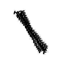 OC(F)(F)C(F)(F)C(F)(F)C(F)(F)C(F)(F)C(F)(F)C(F)(F)C(F)(F)C(F)(F)C(F)(F)C(F)(F)C(F)(F)C(F)(F)C(F)(F)C(F)(F)C(F)(F)C(F)(F)C(F)(F)C(F)(F)F